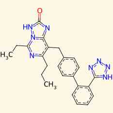 CCCc1nc(CC)n2[nH]c(=O)nc2c1Cc1ccc(-c2ccccc2-c2nnn[nH]2)cc1